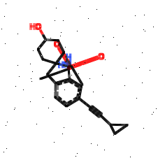 O=C1NC(=O)C2(N1)c1cc(C#CC3CC3)ccc1CC21CCC(O)CC1